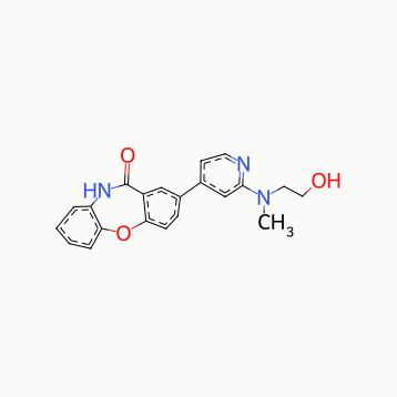 CN(CCO)c1cc(-c2ccc3c(c2)C(=O)Nc2ccccc2O3)ccn1